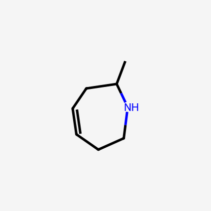 CC1CC=CCCN1